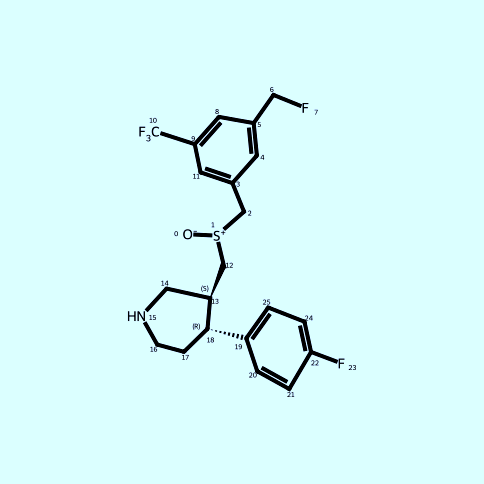 [O-][S+](Cc1cc(CF)cc(C(F)(F)F)c1)C[C@@H]1CNCC[C@H]1c1ccc(F)cc1